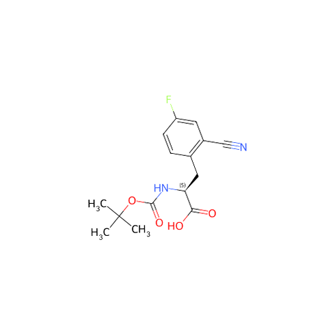 CC(C)(C)OC(=O)N[C@@H](Cc1ccc(F)cc1C#N)C(=O)O